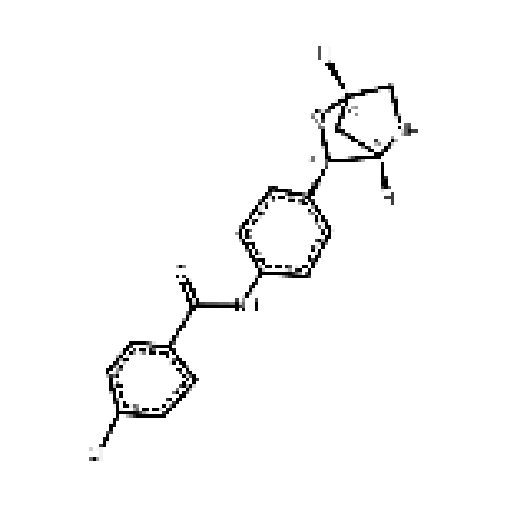 O=C(Nc1ccc([C@H]2O[C@@H]3CN[C@H]2C3)cc1)c1ccc(Cl)cc1